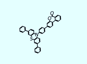 O=c1oc2cc(-c3ccc(N4c5ccc(-c6ccccc6)cc5Sc5cc(-c6ccccc6)ccc54)cc3)ccc2c2ccccc12